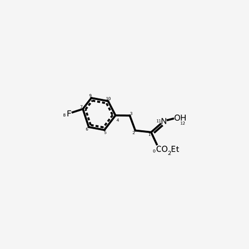 CCOC(=O)C(CCc1ccc(F)cc1)=NO